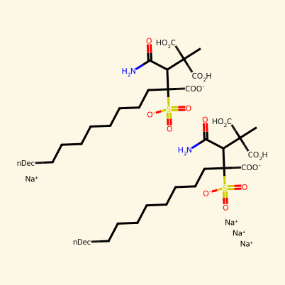 CCCCCCCCCCCCCCCCCCC(C(=O)[O-])(C(C(N)=O)C(C)(C(=O)O)C(=O)O)S(=O)(=O)[O-].CCCCCCCCCCCCCCCCCCC(C(=O)[O-])(C(C(N)=O)C(C)(C(=O)O)C(=O)O)S(=O)(=O)[O-].[Na+].[Na+].[Na+].[Na+]